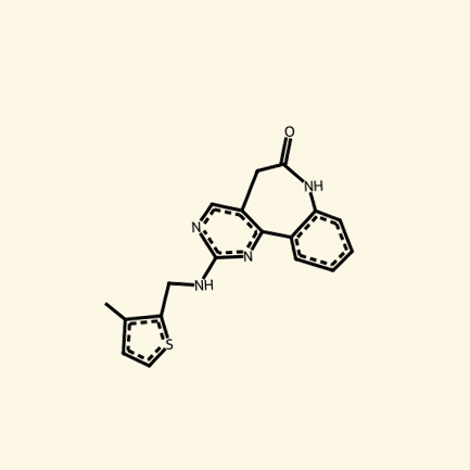 Cc1ccsc1CNc1ncc2c(n1)-c1ccccc1NC(=O)C2